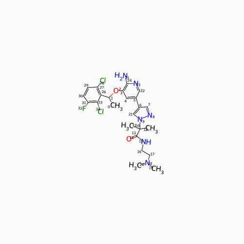 CC(Oc1cc(-c2cnn(C(C)(C)C(=O)NCCN(C)C)c2)cnc1N)c1c(Cl)ccc(F)c1Cl